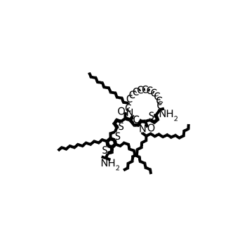 CCCCCCCCCCCCc1c2c(c(CCCCCCCCCCCC)c3sc(C(C)(C)N)cc13)CC(c1ccc(C3=c4cc5c6cc4N(CC(CCCCCCCCCCCC)CCCCCCCCCCC(C)(N)c4ccc(s4)C=6C(=O)N5CC(CCCCCCCCCC)CCCCCCCCCCCC)C3=O)s1)S2